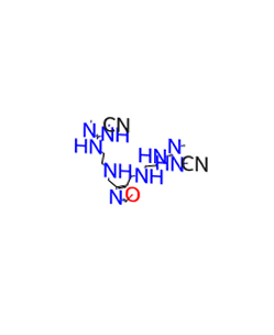 CN=C(NC#N)NCCNCc1ncoc1CNCCNC(=NC)NC#N